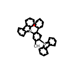 Cc1cc(-n2c3ccccc3c3ccccc32)c(-c2ccccc2)cc1-n1c2ccccc2c2ccccc21